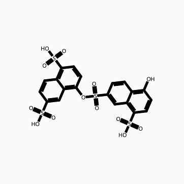 O=S(=O)(O)c1ccc2c(S(=O)(=O)O)ccc(OS(=O)(=O)c3ccc4c(O)ccc(S(=O)(=O)O)c4c3)c2c1